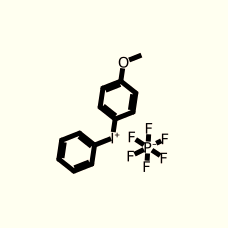 COc1ccc([I+]c2ccccc2)cc1.F[P-](F)(F)(F)(F)F